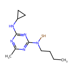 CCCCN(S)c1nc(C)nc(NC2CC2)n1